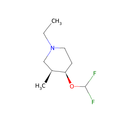 CCN1CC[C@@H](OC(F)F)[C@@H](C)C1